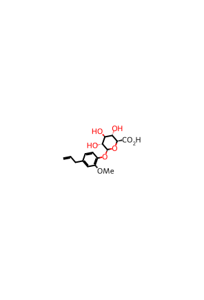 C=CCc1ccc(O[C@@H]2O[C@H](C(=O)O)[C@@H](O)[C@H](O)[C@H]2O)c(OC)c1